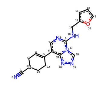 N#CB1CC=C(c2cnc(NCc3ccco3)n3cnnc23)CC1